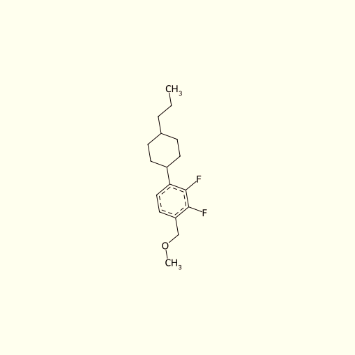 CCCC1CCC(c2ccc(COC)c(F)c2F)CC1